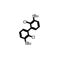 CC(C)(C)c1cccc(-c2cccc(C(C)(C)C)c2Cl)c1Cl